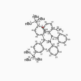 CCCC[Si](CCCC)(CCCC)c1ccc(P(c2ccc([Si](CCCC)(CCCC)CCCC)cc2)N(c2ccccc2)P(c2ccccc2)c2ccccc2C)cc1